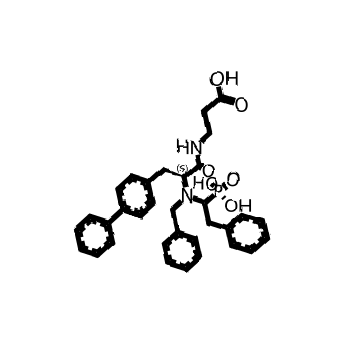 O=C(O)CCNC(=O)[C@H](Cc1ccc(-c2ccccc2)cc1)N(Cc1ccccc1)C(Cc1ccccc1)P(=O)(O)O